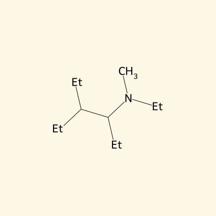 CCC(CC)C(CC)N(C)CC